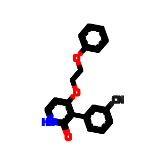 N#Cc1cccc(-c2c(OCCOc3ccccc3)cc[nH]c2=O)c1